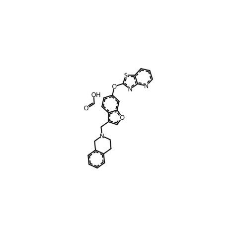 O=CO.c1ccc2c(c1)CCN(Cc1coc3cc(Oc4nc5ncccc5s4)ccc13)C2